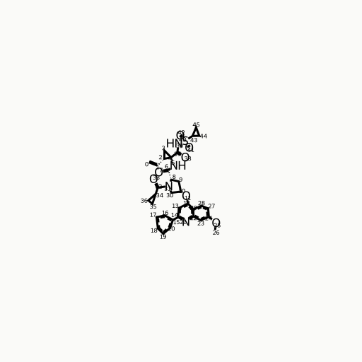 C=C[C@@H]1C[C@]1(NC(=O)[C@@H]1C[C@@H](Oc2cc(-c3ccccc3)nc3cc(OC)ccc23)CN1C(=O)C1CC1)C(=O)NS(=O)(=O)C1CC1